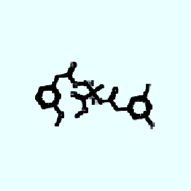 COC(=O)[C@](C)(NOC(=O)Cc1cccc(OC)c1)NC(=O)Cc1cc(F)cc(F)c1